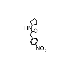 O=C(Cc1ccc([N+](=O)[O-])cc1)NC1CCCC1